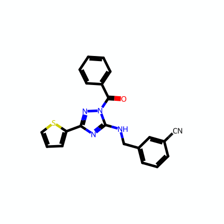 N#Cc1cccc(CNc2nc(-c3cccs3)nn2C(=O)c2ccccc2)c1